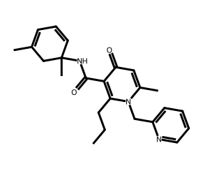 CCCc1c(C(=O)NC2(C)C=CC=C(C)C2)c(=O)cc(C)n1Cc1ccccn1